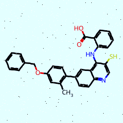 Cc1cc(OCc2ccccc2)ccc1-c1ccc2ncc(S)c(Nc3ccccc3C(=O)O)c2c1